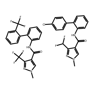 Cn1cc(C(=O)Nc2ccccc2-c2ccc(Cl)cc2)c(C(F)F)n1.Cn1cc(C(=O)Nc2ccccc2-c2ccccc2C(F)(F)F)c(C(F)(F)F)n1